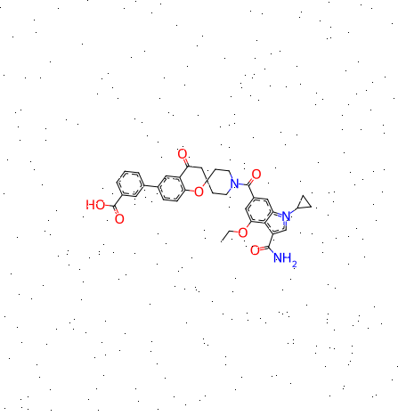 CCOc1cc(C(=O)N2CCC3(CC2)CC(=O)c2cc(-c4cccc(C(=O)O)c4)ccc2O3)cc2c1c(C(N)=O)cn2C1CC1